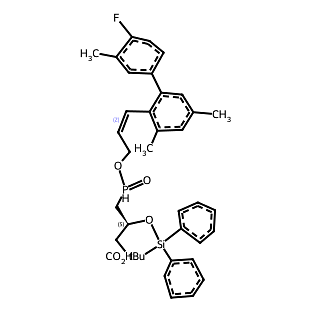 Cc1cc(C)c(/C=C\CO[PH](=O)C[C@H](CC(=O)O)O[Si](c2ccccc2)(c2ccccc2)C(C)(C)C)c(-c2ccc(F)c(C)c2)c1